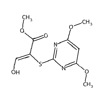 COC(=O)/C(=C/O)Sc1nc(OC)cc(OC)n1